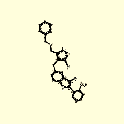 CCc1n[nH]c(COCc2ccccc2)c1Cc1ccc2oc(-c3ccccc3C(=O)O)c(Br)c2c1